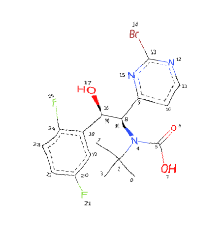 CC(C)(C)N(C(=O)O)[C@H](c1ccnc(Br)n1)[C@H](O)c1cc(F)ccc1F